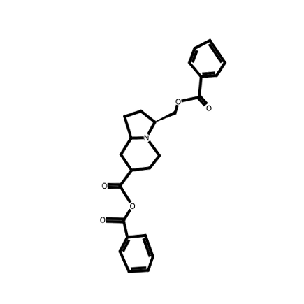 O=C(OC[C@@H]1CCC2CC(C(=O)OC(=O)c3ccccc3)CCN21)c1ccccc1